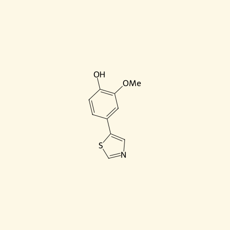 COc1cc(-c2cncs2)ccc1O